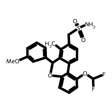 COc1cccc(C2Oc3cccc(OC(F)F)c3-c3ccc(CS(N)(=O)=O)c(C)c32)c1